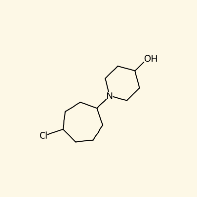 OC1CCN(C2CCCC(Cl)CC2)CC1